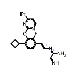 CC(C)c1ccnc(Oc2c(C3CCC3)ccc(/C=C/N=C(/N)C=N)c2F)n1